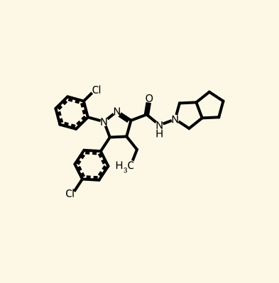 CCC1C(C(=O)NN2CC3CCCC3C2)=NN(c2ccccc2Cl)C1c1ccc(Cl)cc1